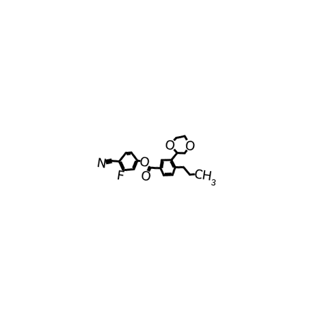 CCCc1ccc(C(=O)Oc2ccc(C#N)c(F)c2)cc1C1COCCO1